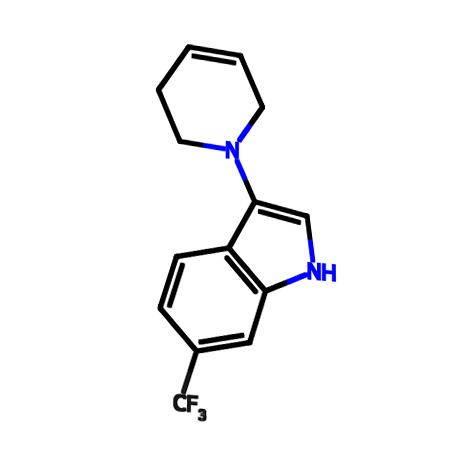 FC(F)(F)c1ccc2c(N3CC=CCC3)c[nH]c2c1